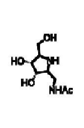 CC(=O)NCC1N[C@H](CO)[C@@H](O)[C@H]1O